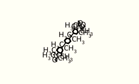 Cc1cc(C(C)(C)c2ccc(C(C)(C)c3cc(C)c(N(C4(C)CO4)C4(C)CO4)c(C)c3)cc2)cc(C)c1N(C)C1(C)CO1